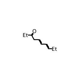 CCC=CC=CCC(=O)CC